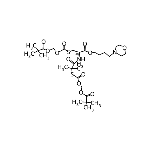 CC(C)(C)C(=O)OCOC(=O)SC[C@H](NC(=O)C(C)(C)SC(=O)OCOC(=O)C(C)(C)C)C(=O)OCCCCN1CCOCC1